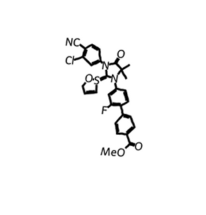 COC(=O)c1ccc(-c2ccc(N3C(=S4C=CCO4)N(c4ccc(C#N)c(Cl)c4)C(=O)C3(C)C)cc2F)cc1